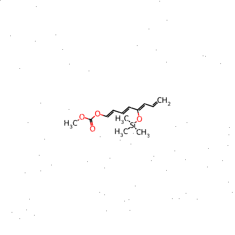 C=CC=C(C=CC=COC(=O)OC)O[Si](C)(C)C